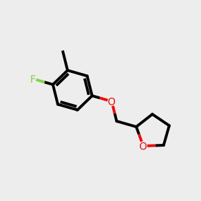 Cc1cc(OCC2CCCO2)ccc1F